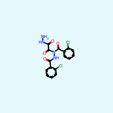 NNC(=O)C(=O)N(NC(=O)c1ccccc1Cl)C(=O)c1ccccc1Cl